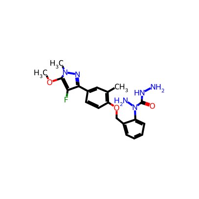 COc1c(F)c(-c2ccc(OCc3ccccc3N(N)C(=O)NN)c(C)c2)nn1C